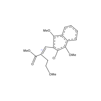 COCC/C(=C\c1c(Cl)c(OC)c2ccccc2c1OC)C(=O)OC